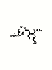 COc1cc(Br)ccc1C[C@@H](C#N)OC(=O)NC(C)(C)C